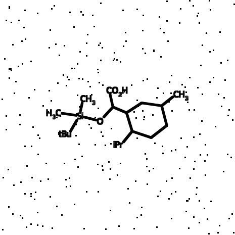 CC1CCC(C(C)C)C(C(O[Si](C)(C)C(C)(C)C)C(=O)O)C1